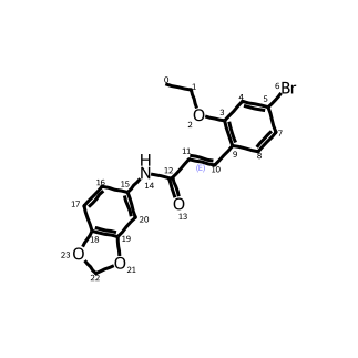 CCOc1cc(Br)ccc1/C=C/C(=O)Nc1ccc2c(c1)OCO2